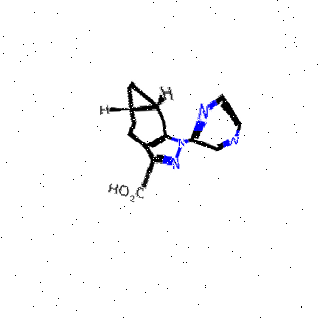 O=C(O)c1nn(-c2cnccn2)c2c1C[C@@H]1C[C@H]21